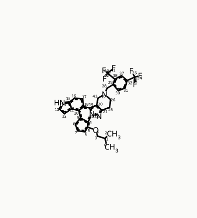 CC(C)COc1cccc2c3c4cc[nH]c4ccc3c3c4c(nn3c12)CCN(Cc1ccc(C(F)(F)F)cc1C(F)(F)F)C4